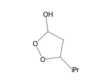 CC(C)C1CC(O)OO1